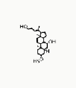 C[C@H](CCCO)[C@H]1CCC2C3C(CC[C@@]21C)[C@@]1(C)CC[C@@H](OS)C[C@H]1C[C@@H]3O